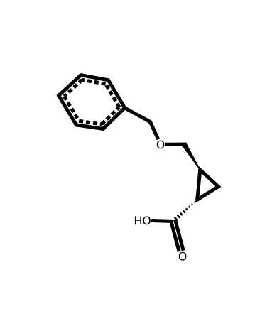 O=C(O)[C@H]1C[C@@H]1COCc1ccccc1